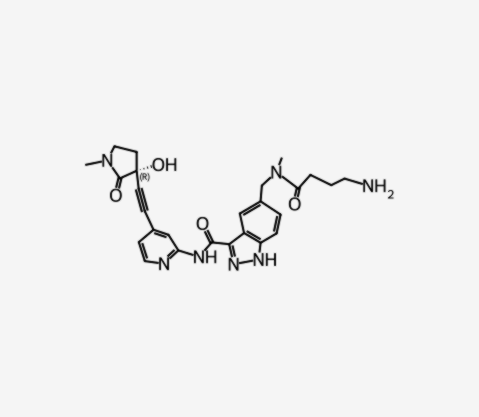 CN(Cc1ccc2[nH]nc(C(=O)Nc3cc(C#C[C@]4(O)CCN(C)C4=O)ccn3)c2c1)C(=O)CCCN